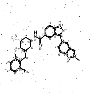 Cn1cc2cc(-c3n[nH]c4ccc(C(=O)N[C@H]5C[C@@H](C(F)(F)F)CN(Cc6c(F)cccc6F)C5)cc34)ccc2n1